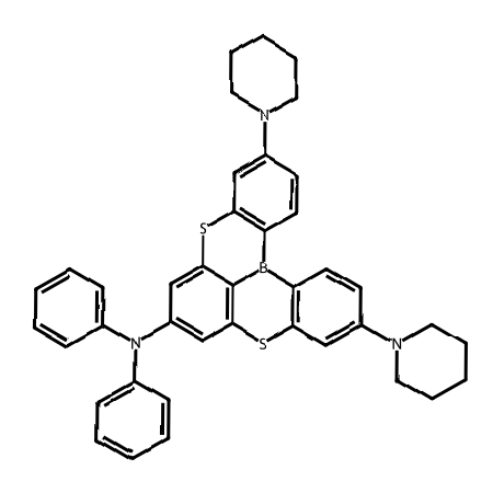 c1ccc(N(c2ccccc2)c2cc3c4c(c2)Sc2cc(N5CCCCC5)ccc2B4c2ccc(N4CCCCC4)cc2S3)cc1